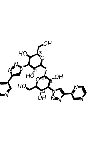 OCC1O[C@@H](SC2O[C@H](CO)C(O)C(n3cc(-c4cncnc4)nn3)[C@H]2O)[C@@H](O)C(n2cc(-c3cnccn3)nn2)[C@H]1O